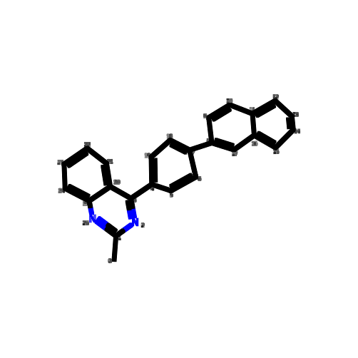 Cc1nc(-c2ccc(-c3ccc4ccccc4c3)cc2)c2ccccc2n1